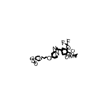 COc1cc(-c2cnc3cc(OCCCN4CCC(S(C)(=O)=O)CC4)ccn23)cc(OC(F)F)c1C(=O)NC1CC1